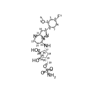 COc1cc(F)ccc1-c1cc2nccc(N[C@@H]3C[C@H](COS(N)(=O)=O)[C@@H](O)[C@H]3O)n2n1